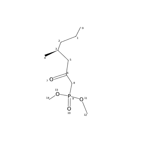 CCC[C@H](C)CC(=O)CP(=O)(OC)OC